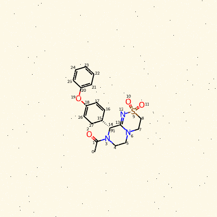 CC(=O)N1CCN2CCS(=O)(=O)N=C2[C@H]1C1C=CC(Oc2ccccc2)=CC1